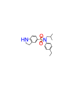 CCc1ccc(N(CC(C)C)S(=O)(=O)c2ccc3c(c2)CCN3)cc1